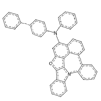 c1ccc(-c2ccc(N(c3ccccc3)c3cc4oc5c6ccccc6n6c7ccccc7c7cccc3c7c4c56)cc2)cc1